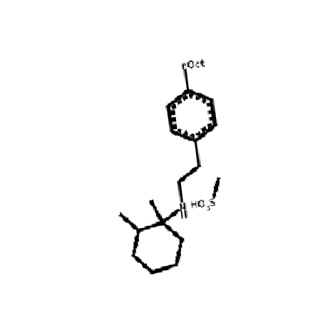 CCCCCCCCc1ccc(CCNC2(C)CCCCC2C)cc1.CS(=O)(=O)O